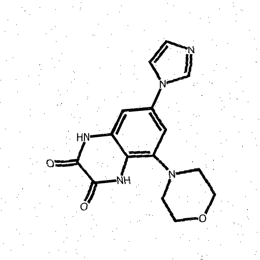 O=c1[nH]c2cc(-n3ccnc3)cc(N3CCOCC3)c2[nH]c1=O